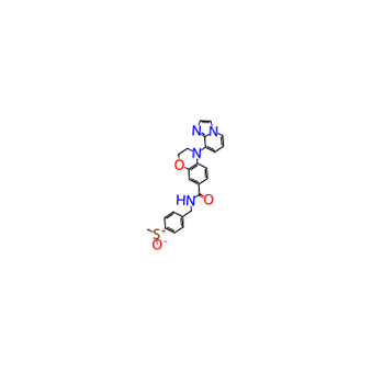 C[S+]([O-])c1ccc(CNC(=O)c2ccc3c(c2)OCCN3c2cccn3ccnc23)cc1